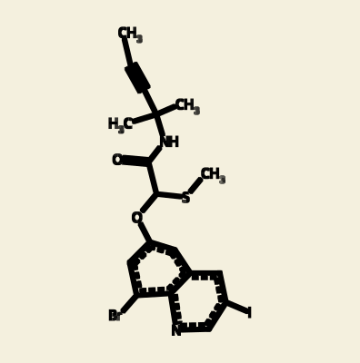 CC#CC(C)(C)NC(=O)C(Oc1cc(Br)c2ncc(I)cc2c1)SC